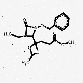 CCC1C(=O)N(OCc2ccccc2)C1C1(CCC(=O)OC)OC(C)O1